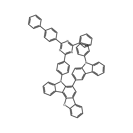 c1ccc(-c2ccc(-c3nc(-c4ccccc4)nc(-c4ccc(-n5c6ccccc6c6c7oc8ccccc8c7cc(-c7ccc8c(c7)c7ccccc7n8-c7ccccc7)c65)cc4)n3)cc2)cc1